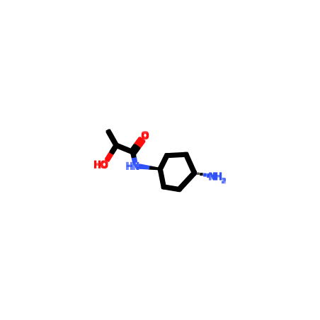 CC(O)C(=O)N[C@H]1CC[C@H](N)CC1